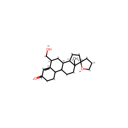 CC12CCC3C4CCC(=O)C=C4C(CO)CC3C1CCC21CCCO1